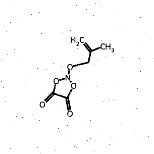 C=C(C)COn1oc(=O)c(=O)o1